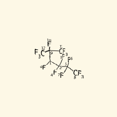 FC(C(F)(F)C(F)(F)C(F)(F)F)C(F)(C(F)(F)F)C(F)(F)F